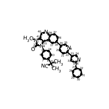 Cn1c(=O)n(-c2ccc(C(C)(C)C#N)cc2)c2c3cc(-c4ccc(-c5cnn(-c6ccccc6)c5)nc4)ccc3ncc21